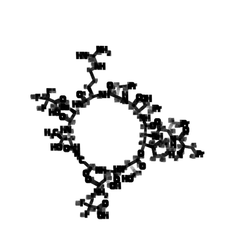 CC[C@H](C)[C@@H]1NC(=O)[C@@H](CCCNC(=N)N)NC(=O)[C@H](CC(C)C)NC(=O)[C@H]([C@H](O)C(C)C)NC(=O)[C@@H](NC(=O)[C@H](CC(C)C)NC(=O)[C@H](N)CC(C)C)[C@@H](c2ccccc2)OC(=O)[C@H](CO)NC(=O)[C@H]([C@H](O)C(N)=O)NC(=O)CNC(=O)[C@H]([C@H](C)O)NC1=O.O=C(O)C(F)(F)F.O=C(O)C(F)(F)F